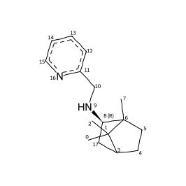 CC1(C)C2CCC1(C)[C@H](NCc1ccccn1)C2